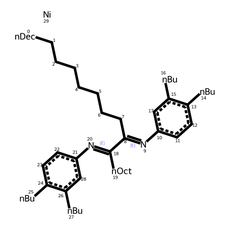 CCCCCCCCCCCCCCCCCC(=N\c1ccc(CCCC)c(CCCC)c1)/C(CCCCCCCC)=N/c1ccc(CCCC)c(CCCC)c1.[Ni]